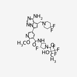 COc1ncc(-c2cc(CN3CCC(F)(F)CC3)c3c(N)ncnn23)cc1C(=O)N[C@@H]1CN(C(=O)[C@@](C)(O)C(F)(F)F)C[C@@H]1F